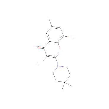 Cc1cc(Br)c2oc(N3CCC(C)(C)CC3)c(C#N)c(=O)c2c1